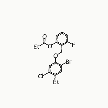 CCC(=O)Oc1cccc(F)c1COc1cc(Cl)c(CC)cc1Br